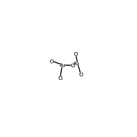 [Cl][Ru]([Cl])[Cl].[Cl][Ru][Cl]